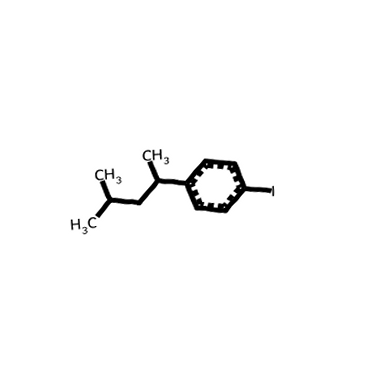 CC(C)CC(C)c1ccc(I)cc1